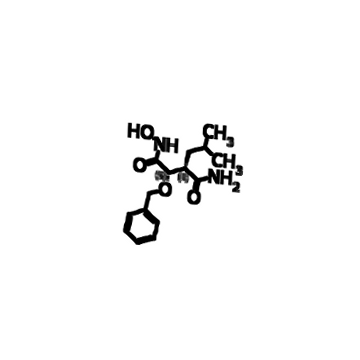 CC(C)C[C@@H](C(N)=O)[C@H](OCc1ccccc1)C(=O)NO